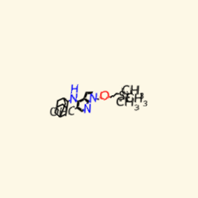 C[Si](C)(C)CCOCn1ccc2c(NC3C4CC5CC(C4)CC3C5)c(C=O)cnc21